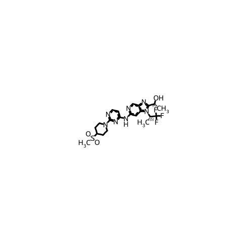 C[C@H](n1c([C@@H](C)O)nc2cnc(Nc3ccnc(N4CCC(S(C)(=O)=O)CC4)n3)cc21)C(F)(F)F